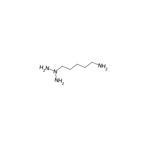 NCCCCCN(N)N